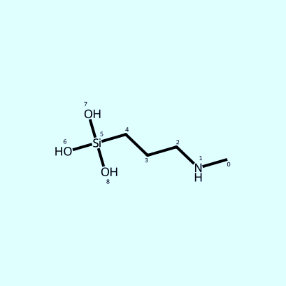 CNCCC[Si](O)(O)O